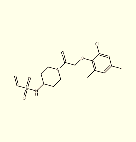 C=CS(=O)(=O)NC1CCN(C(=O)COc2c(C)cc(C)cc2Cl)CC1